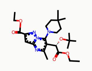 CCOC(=O)c1cc2nc(C)c([C@H](OC(C)(C)C)C(=O)OCC)c(N3CCC(C)(C)CC3)n2n1